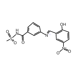 CS(=O)(=O)NC(=O)c1cccc(/N=C/c2cc([N+](=O)[O-])ccc2O)c1